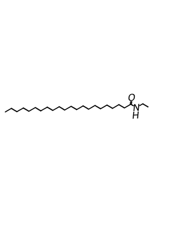 CCCCCCCCCCCCCCCCCCCCCC(=O)NCC